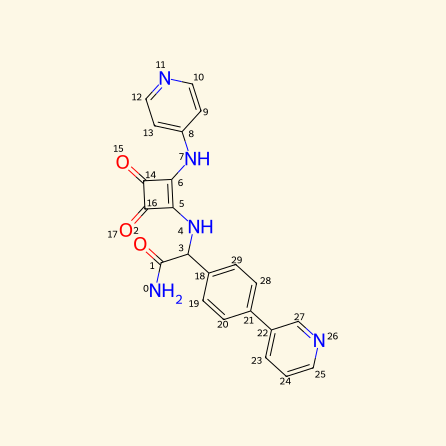 NC(=O)C(Nc1c(Nc2ccncc2)c(=O)c1=O)c1ccc(-c2cccnc2)cc1